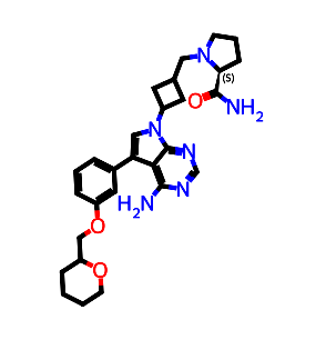 NC(=O)[C@@H]1CCCN1CC1CC(n2cc(-c3cccc(OCC4CCCCO4)c3)c3c(N)ncnc32)C1